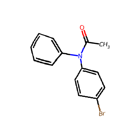 CC(=O)N(c1ccccc1)c1ccc(Br)cc1